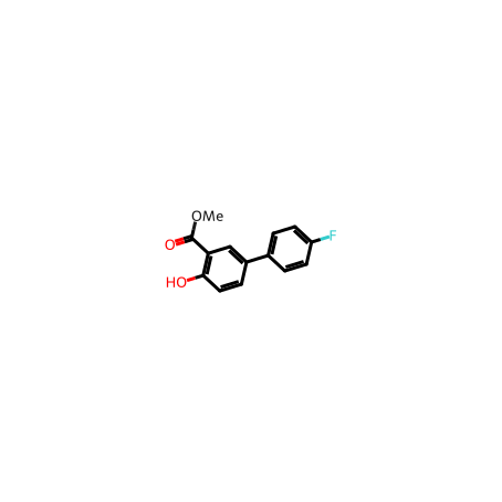 COC(=O)c1cc(-c2ccc(F)cc2)ccc1O